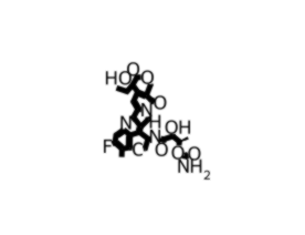 CC[C@@]1(O)C(=O)OCc2c1cc1n(c2=O)Cc2c-1nc1cc(F)c(C)c3c1c2[C@@H](NC(=O)C(O)[C@@H](C)OC(N)=O)CC3